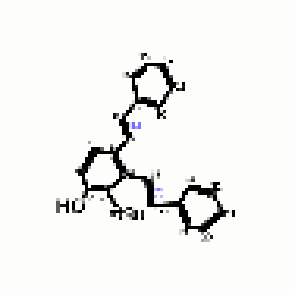 CC(C)(C)c1c(O)ccc(/C=C/c2ccccc2)c1/C=C/c1ccccc1